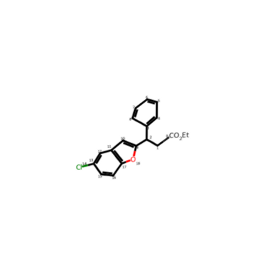 CCOC(=O)CC(c1ccccc1)c1cc2cc(Cl)ccc2o1